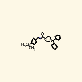 CN(C)c1ccc(/C=C/C(=O)N2CCN(C(c3ccccc3)c3ccccc3)CC2)cc1